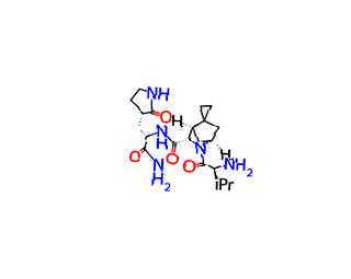 CC(C)[C@H](N)C(=O)N1[C@H]2C[C@@H]([C@H]1C(=O)N[C@@H](C[C@@H]1CCNC1=O)C(N)=O)C1(CC1)C2